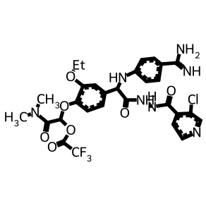 CCOc1cc(C(Nc2ccc(C(=N)N)cc2)C(=O)NNC(=O)c2ccncc2Cl)ccc1OC(OC(=O)C(F)(F)F)C(=O)N(C)C